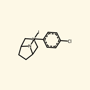 Clc1ccc(CN2C3CCC2CN(I)C3)cc1